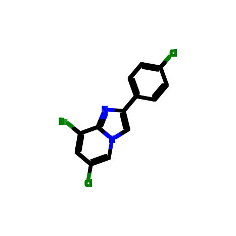 Clc1ccc(-c2cn3cc(Cl)cc(Br)c3n2)cc1